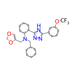 FC(F)(F)Oc1cccc(-c2nnc(-c3ccccc3N(CC3=COCO3)Cc3ccccc3)[nH]2)c1